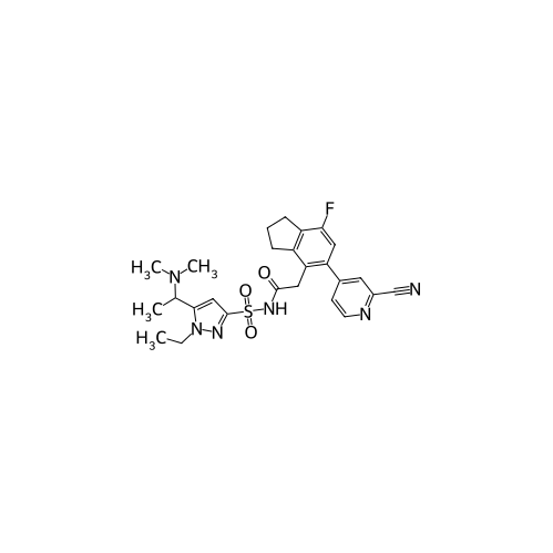 CCn1nc(S(=O)(=O)NC(=O)Cc2c(-c3ccnc(C#N)c3)cc(F)c3c2CCC3)cc1C(C)N(C)C